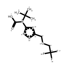 CC(C)(C)N(C(=O)O)c1nnc(COCC(F)(F)F)s1